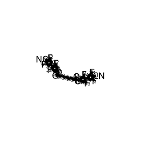 N#Cc1c(F)cc(-c2c(F)cc(OC(=O)CCCCCCCC(=O)Oc3cc(F)c(-c4cc(F)c(C#N)c(F)c4)c(F)c3)cc2F)cc1F